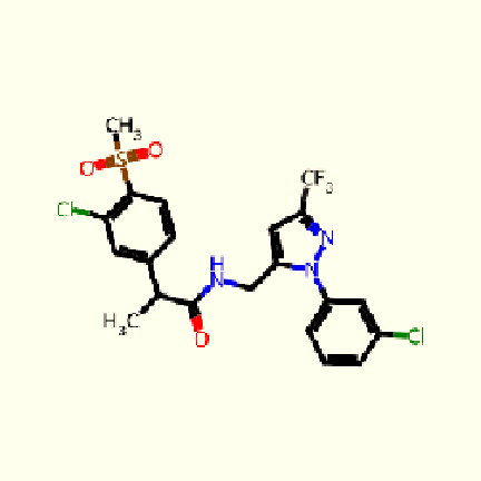 CC(C(=O)NCc1cc(C(F)(F)F)nn1-c1cccc(Cl)c1)c1ccc(S(C)(=O)=O)c(Cl)c1